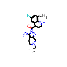 CCN1CCc2c(nn(C(=O)C3CCNc4c(C)cc(F)cc43)c2N)C1